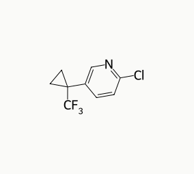 FC(F)(F)C1(c2ccc(Cl)nc2)CC1